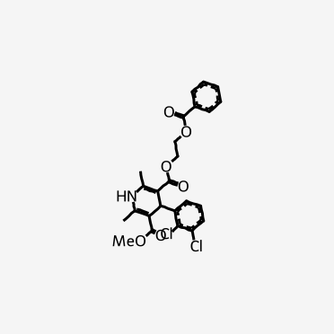 COC(=O)C1=C(C)NC(C)=C(C(=O)OCCOC(=O)c2ccccc2)C1c1cccc(Cl)c1Cl